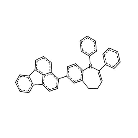 C1=C(c2ccccc2)N(c2ccccc2)c2ccc(-c3ccc4c5c(cccc35)-c3ccccc3-4)cc2CC1